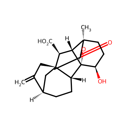 C=C1C[C@]23C[C@H]1CC[C@H]2[C@]12OC(=O)[C@](C)(CC[C@H]1O)[C@H]2[C@@H]3C(=O)O